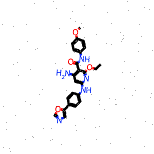 CCOc1nc(Nc2ccc(-c3cnco3)cc2)cc(N)c1C(=O)Nc1ccc(OC)cc1